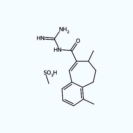 CS(=O)(=O)O.Cc1cccc2c1CCC(C)C(C(=O)NC(=N)N)=C2